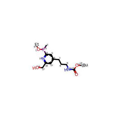 CCOP(C)c1cc(CCCNC(=O)OC(C)(C)C)cc(CO)n1